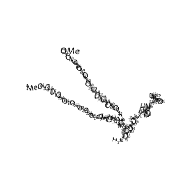 COCCOCCOCCOCCOCCOCCOCCOCCOCCOCCOCCOCCCC1(CCCOCCOCCOCCOCCOCCOCCOCCOCCOCCOCCOCCOC)c2cc(C)ccc2-c2ccc(-c3ccc(CCCC(=O)NCCCN4C(=O)C=CC4=O)cc3)cc21